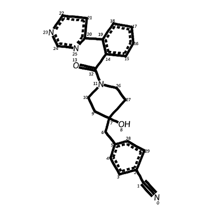 N#Cc1ccc(CC2(O)CCN(C(=O)c3ccccc3-c3ccncn3)CC2)cc1